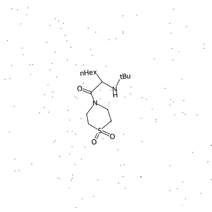 CCCCCCC(NC(C)(C)C)C(=O)N1CCS(=O)(=O)CC1